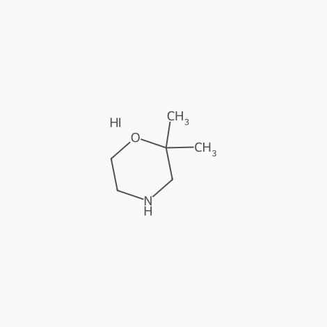 CC1(C)CNCCO1.I